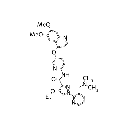 CCOc1cn(-c2ncccc2CN(C)C)nc1C(=O)Nc1ccc(Oc2ccnc3cc(OC)c(OC)cc23)cn1